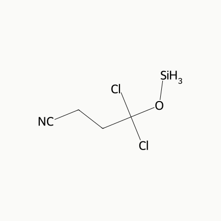 N#CCCC(Cl)(Cl)O[SiH3]